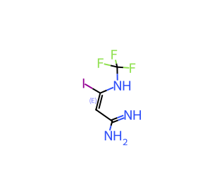 N=C(N)/C=C(/I)NC(F)(F)F